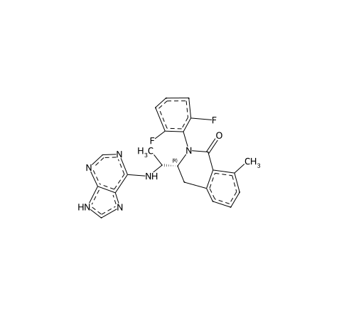 Cc1cccc2c1C(=O)N(c1c(F)cccc1F)[C@@H](C(C)Nc1ncnc3[nH]cnc13)C2